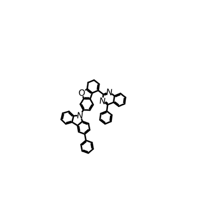 C1=C(c2nc(-c3ccccc3)c3ccccc3n2)c2c(oc3cc(-n4c5ccccc5c5cc(-c6ccccc6)ccc54)ccc23)CC1